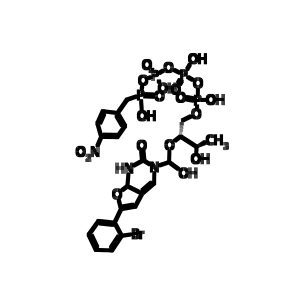 C[C@@H](O)[C@@H](COP(=O)(O)OP(=O)(O)OP(=O)(O)OP(=O)(O)Cc1ccc([N+](=O)[O-])cc1)OC(O)N1C=C2C=C(c3ccccc3Br)OC2NC1=O